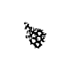 CCC1(CC)[n+]2ccc3cccc4c3c2-c2c(ccc(F)c2C4(C)C)C1(NC)NNC(C)C(C)C